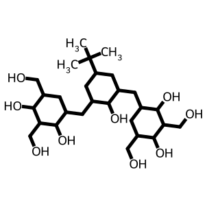 CC(C)(C)C1CC(CC2CC(CO)C(O)C(CO)C2O)C(O)C(CC2CC(CO)C(O)C(CO)C2O)C1